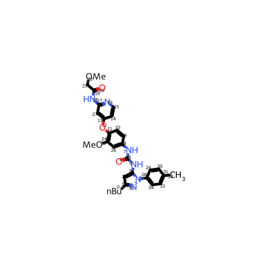 CCCCc1cc(NC(=O)Nc2ccc(Oc3ccnc(NC(=O)COC)c3)c(OC)c2)n(-c2ccc(C)cc2)n1